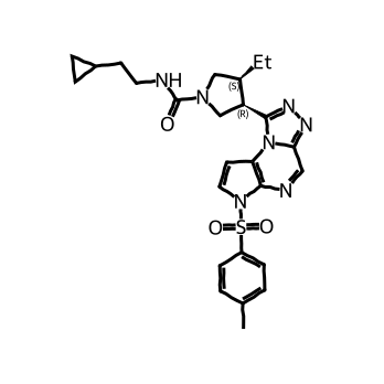 CC[C@@H]1CN(C(=O)NCCC2CC2)C[C@@H]1c1nnc2cnc3c(ccn3S(=O)(=O)c3ccc(C)cc3)n12